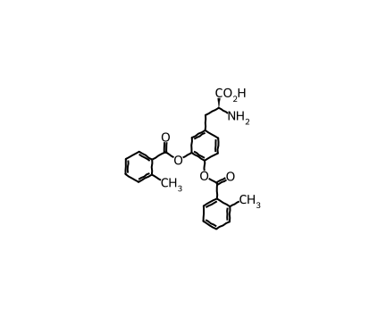 Cc1ccccc1C(=O)Oc1ccc(C[C@H](N)C(=O)O)cc1OC(=O)c1ccccc1C